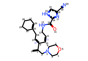 C=C(CN1CCOCC1)C(/C=C\CNC(=O)c1nc(C#N)c[nH]1)=C/CC1=CCCCC1